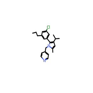 CCCc1cc(Cl)cc(-c2c(C(C)C)cc(C)n2Cc2ccncc2)c1